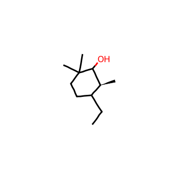 CCC1CCC(C)(C)C(O)[C@H]1C